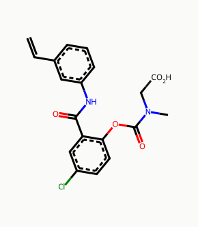 C=Cc1cccc(NC(=O)c2cc(Cl)ccc2OC(=O)N(C)CC(=O)O)c1